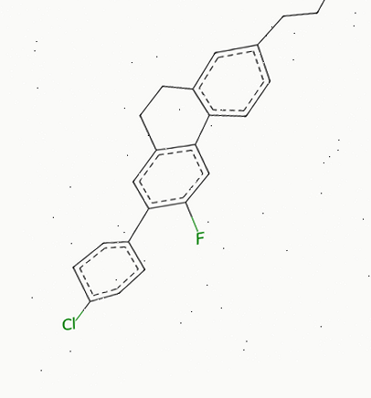 CCCc1ccc2c(c1)CCc1cc(-c3ccc(Cl)cc3)c(F)cc1-2